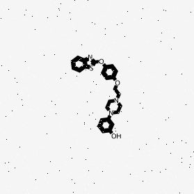 Oc1cccc(N2CCN(CCOc3ccc(Oc4nc5ccccc5s4)cc3)CC2)c1